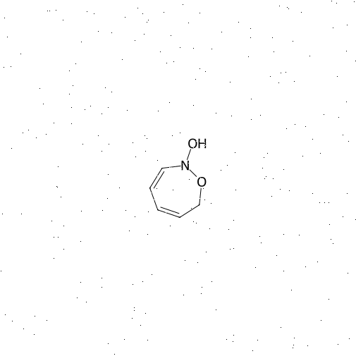 ON1C=CC=CCO1